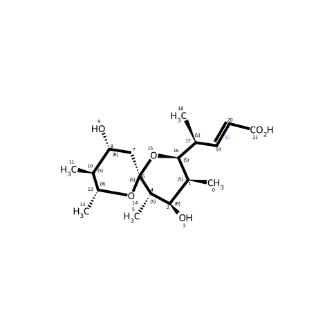 C[C@H]1[C@@H](O)[C@H](C)[C@]2(C[C@@H](O)[C@H](C)[C@@H](C)O2)O[C@H]1[C@@H](C)/C=C/C(=O)O